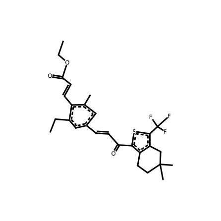 CCOC(=O)C=Cc1c(C)cc(C=CC(=O)c2sc(C(F)(F)F)c3c2CCC(C)(C)C3)cc1CC